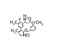 CCOC(=O)C[C@H](N)c1cc(-c2c(C)cccc2OCc2ccccc2)cc(C)c1F.Cl